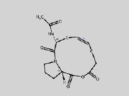 CC(=O)N[C@@H]1C/C=C\CCC(=O)OC(=O)[C@@H]2CCCN2C1=O